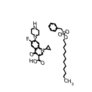 CCCCCCCCCCCCOS(=O)(=O)Cc1ccccc1.O=C(O)c1cn(C2CC2)c2cc(N3CCNCC3)c(F)cc2c1=O